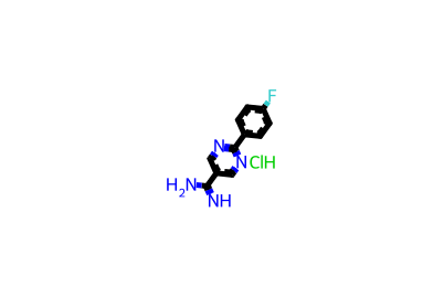 Cl.N=C(N)c1cnc(-c2ccc(F)cc2)nc1